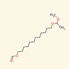 COC(C)OCCCCCCCCCCCCO[C]=O